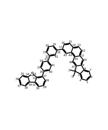 CC1(C)c2ccccc2-c2cc3ccc4ccc(-c5cccc(-c6ccc(-c7cccc8c7sc7ccccc78)cc6)c5)cc4c3cc21